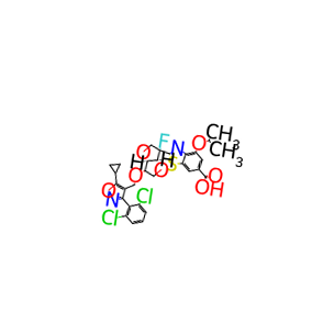 CC(C)Oc1cc(C(=O)O)cc2sc([C@]3(F)CO[C@@H]4[C@H](OCc5c(-c6c(Cl)cccc6Cl)noc5C5CC5)CO[C@@H]43)nc12